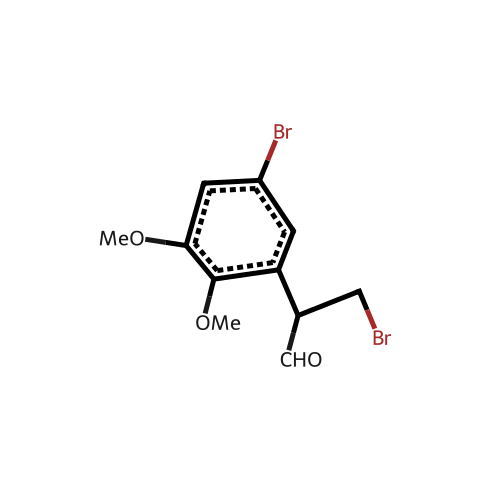 COc1cc(Br)cc(C(C=O)CBr)c1OC